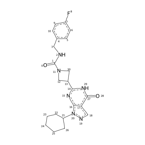 O=C(NCc1ccc(F)cc1)N1CC(c2nc3c(cnn3C3CCCCC3)c(=O)[nH]2)C1